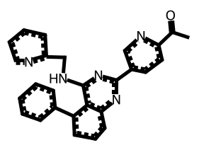 CC(=O)c1ccc(-c2nc(NCc3ccccn3)c3c(-c4ccccc4)cccc3n2)cn1